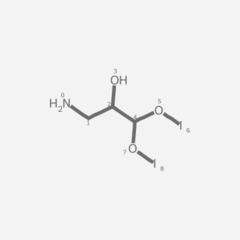 NCC(O)C(OI)OI